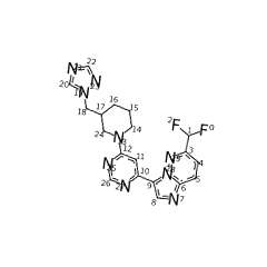 FC(F)c1ccc2ncc(-c3cc(N4CCCC(Cn5cncn5)C4)ncn3)n2n1